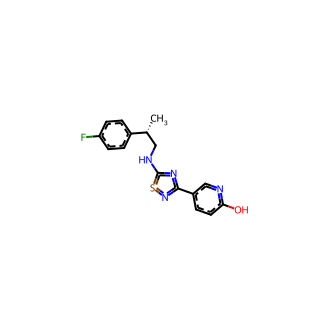 C[C@H](CNc1nc(-c2ccc(O)nc2)ns1)c1ccc(F)cc1